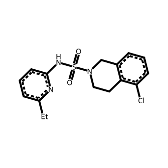 CCc1cccc(NS(=O)(=O)N2CCc3c(Cl)cccc3C2)n1